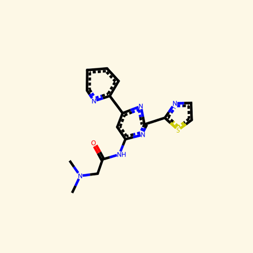 CN(C)CC(=O)Nc1cc(-c2ccccn2)nc(-c2nccs2)n1